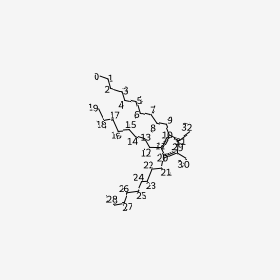 CCCCCCCCCCC1=C(CCCCCCCC)C(CCCCCCCC)=C(C)C1C